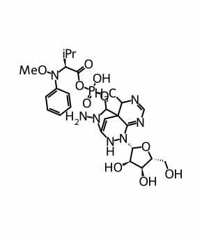 CON(c1ccccc1)[C@H](C(=O)OP(=O)(O)OC1N(N)C2=CC13C(=NC=NC3C)N([C@@H]1O[C@H](CO)[C@@H](O)[C@H]1O)N2)C(C)C